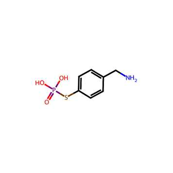 NCc1ccc(SP(=O)(O)O)cc1